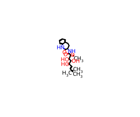 CO[C@@H](C(=O)N[C@@H]1CCc2ccccc2NC1=O)[C@H](O)[C@@H](O)[C@H](O)/C=C/C(C)(C)C